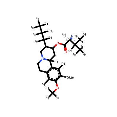 [2H]c1c2c(c([2H])c(OC)c1OC([2H])([2H])[2H])C1([2H])CC(OC(=O)[C@@]([2H])(N)C([2H])(C([2H])([2H])[2H])C([2H])([2H])[2H])C(C([2H])([2H])C([2H])(C)C([2H])([2H])[2H])CN1CC2